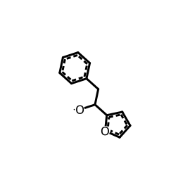 [O]C(Cc1ccccc1)c1ccco1